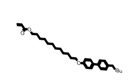 C=CC(=O)OCCCCCCCCCCCCOc1ccc(-c2ccc(CC(C)CC)cc2)cc1